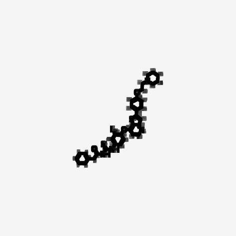 O=C(Cc1ccccc1)NC(=S)Nc1ccc(Oc2ccnc3cc(-c4ccc(OCCN5CCCCC5)cc4)sc23)c(F)c1